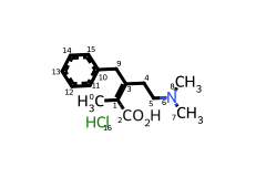 CC(C(=O)O)=C(CCN(C)C)Cc1ccccc1.Cl